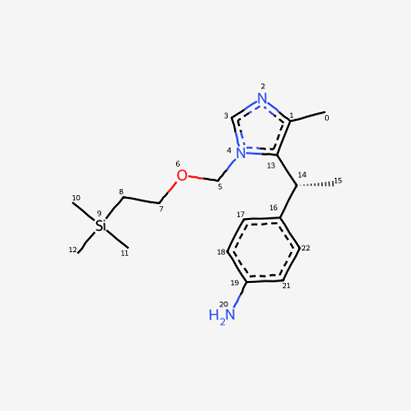 Cc1ncn(COCC[Si](C)(C)C)c1[C@H](C)c1ccc(N)cc1